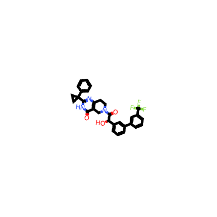 O=C(C(O)c1cccc(-c2cccc(C(F)(F)F)c2)c1)N1CCc2nc(C3(c4ccccc4)CC3)[nH]c(=O)c2C1